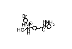 Nc1ccccc1NC(=O)/C=C/c1ccc(C(NCCO)C(=O)Nc2ccc(Br)cc2)cc1